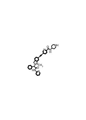 CN1c2cc(C#Cc3ccc(C(=O)NC4CCNCC4)nc3)ccc2CN1C(C(=O)Nc1ccccn1)c1ccccc1